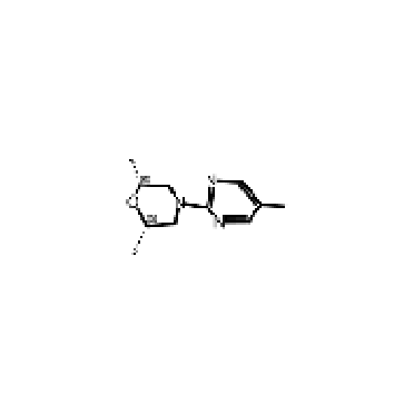 Cc1cnc(N2C[C@@H](C)O[C@@H](C)C2)nc1